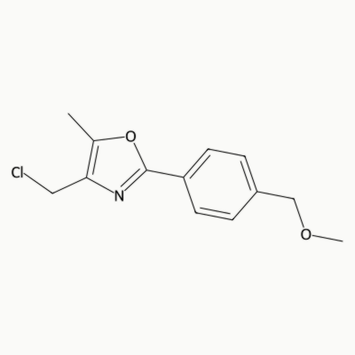 COCc1ccc(-c2nc(CCl)c(C)o2)cc1